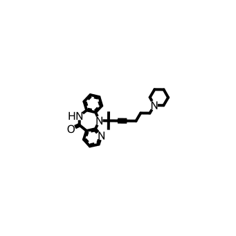 CC(C)(C#CCCCN1CCCCC1)N1c2ccccc2NC(=O)c2cccnc21